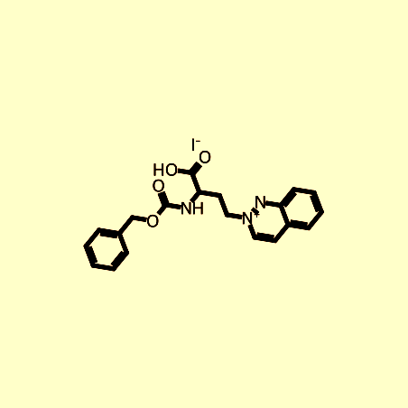 O=C(NC(CC[n+]1ccc2ccccc2n1)C(=O)O)OCc1ccccc1.[I-]